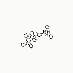 Cc1cc(-c2nc(-c3ccccc3)nc(-c3ccccc3)n2)ccc1N1c2ccccc2C(c2ccccc2)(c2ccc3c(c2)c2ccccc2n3-c2ccccc2)c2ccccc21